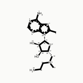 Cc1nc2c(N)ncnc2n1[C@@H]1O[C@H](CN(C)CCN)[C@@H](O)[C@H]1O